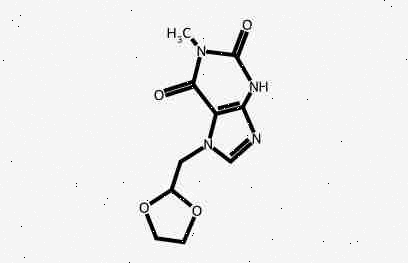 Cn1c(=O)[nH]c2ncn(CC3OCCO3)c2c1=O